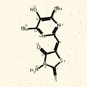 CC(C)(C)c1nc(C=C2SC(=S)N(N)C2=O)nc(C(C)(C)C)c1O